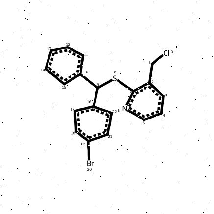 ClCc1cccnc1SC(c1ccccc1)c1ccc(Br)cc1